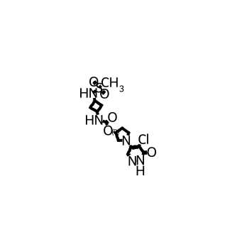 CS(=O)(=O)NC1CC(NC(=O)O[C@@H]2CCN(c3cn[nH]c(=O)c3Cl)C2)C1